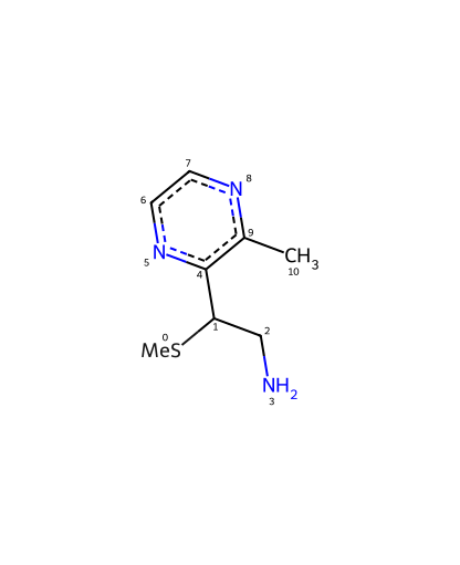 CSC(CN)c1nccnc1C